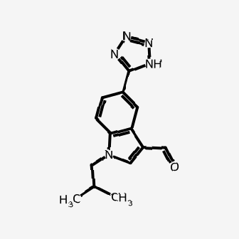 CC(C)Cn1cc(C=O)c2cc(-c3nnn[nH]3)ccc21